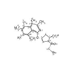 Cc1nc(O[C@@H]2C[C@@H](C(=O)O)N(C(=O)OC(C)(C)C)C2)c2c(C)c(C)c(C)c(C)c2c1C